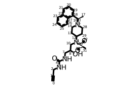 C#CCNC(=O)NCC(O)CN(C1CCN([C@H](C)c2cccc3ccccc23)CC1)S(C)(=O)=O